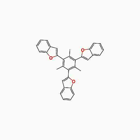 Cc1c(-c2cc3ccccc3o2)c(C)c(-c2cc3ccccc3o2)c(C)c1-c1cc2ccccc2o1